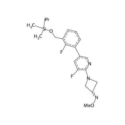 CON=C1CN(c2ncc(-c3cccc(CO[Si](C)(C)C(C)C)c3F)cc2F)C1